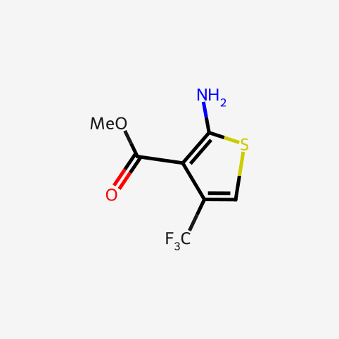 COC(=O)c1c(C(F)(F)F)csc1N